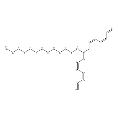 C=C/C=C\C=C/CC(C/C=C\C=C/C=C)OCCCCCCCCCCCBr